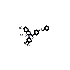 N#Cc1ccc(C/C(C(=O)c2ccc(OCc3ccccc3)cc2)=C(\C(=O)O)c2ccc3nsnc3c2)cc1